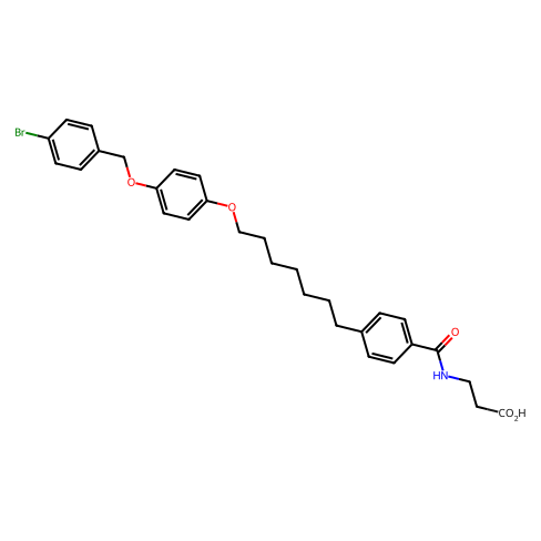 O=C(O)CCNC(=O)c1ccc(CCCCCCCOc2ccc(OCc3ccc(Br)cc3)cc2)cc1